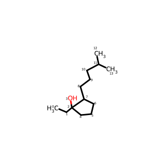 CCC1(O)CCCC1CCCC(C)C